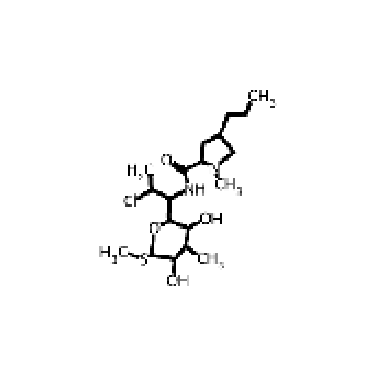 CCCC1CC(C(=O)NC(C(C)Cl)C2OC(SC)C(O)C(C)C2O)N(C)C1